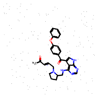 CC(=O)/C=C/CN1CCCC1CNc1ncnc2[nH]cc(C(=O)c3ccc(Oc4ccccc4)cc3)c12